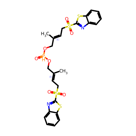 C/C(=C\CS(=O)(=O)c1nc2ccccc2s1)CO[PH](=O)OC/C(C)=C/CS(=O)(=O)c1nc2ccccc2s1